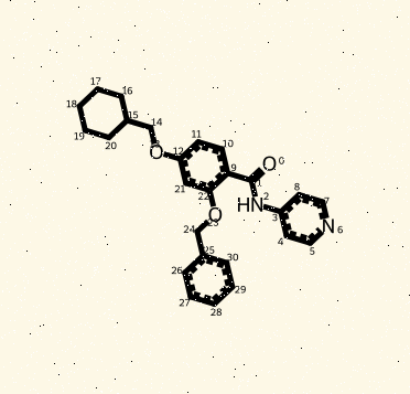 O=C(Nc1ccncc1)c1ccc(OCC2CCCCC2)cc1OCc1ccccc1